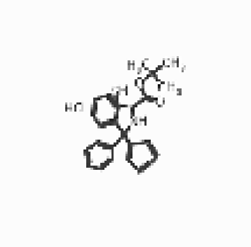 CC(C)(C)OC(=O)[C@H](CS)NC(c1ccccc1)(c1ccccc1)c1ccccc1.Cl